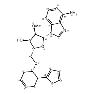 CO[C@@H]1[C@H](O)[C@@H](CO[C@H]2CC=CC[C@@H]2c2cccs2)O[C@H]1n1cnc2c(N)ncnc21